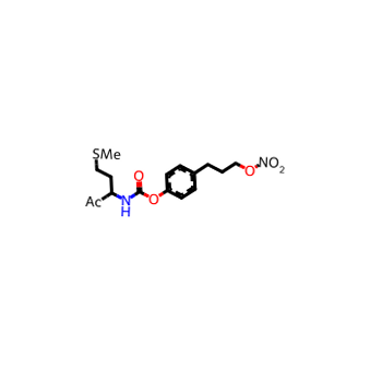 CSCCC(NC(=O)Oc1ccc(CCCO[N+](=O)[O-])cc1)C(C)=O